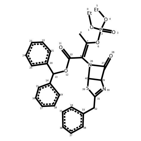 CCOP(=O)(OCC)OC(C)=C(C(=O)OC(c1ccccc1)c1ccccc1)N1C(=O)C2N=C(Cc3ccccc3)SC21